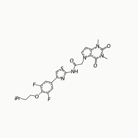 CC(C)CCOc1c(F)cc(-c2csc(NC(=O)Cn3ccc4c3c(=O)n(C)c(=O)n4C)n2)cc1F